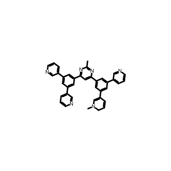 Cc1nc(-c2cc(C3=CN(C)CC=C3)cc(-c3cccnc3)c2)cc(-c2cc(-c3cccnc3)cc(-c3cccnc3)c2)n1